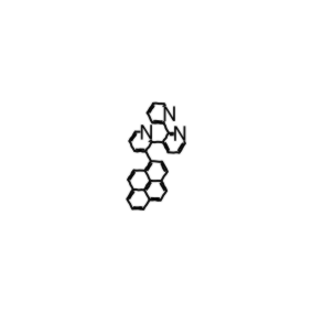 c1ccc(-c2ncccc2-c2ncccc2-c2ccc3ccc4cccc5ccc2c3c45)nc1